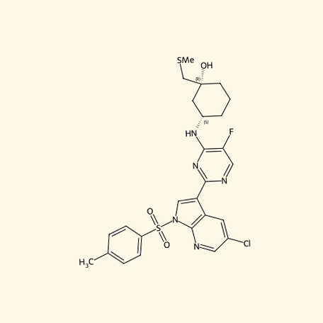 CSC[C@@]1(O)CCC[C@H](Nc2nc(-c3cn(S(=O)(=O)c4ccc(C)cc4)c4ncc(Cl)cc34)ncc2F)C1